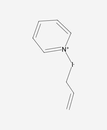 C=CC[I][n+]1ccccc1